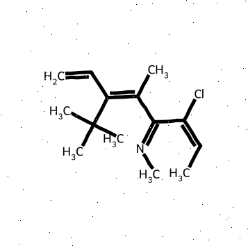 C=C/C(=C(C)/C(=N/C)C(/Cl)=C\C)C(C)(C)C